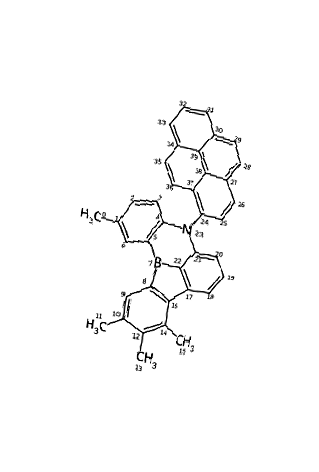 Cc1ccc2c(c1)B1c3cc(C)c(C)c(C)c3-c3cccc(c31)N2c1ccc2ccc3cccc4ccc1c2c34